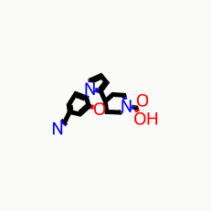 N#Cc1ccc2c(c1)OC1(CCN(C(=O)O)CC1)c1cccn1-2